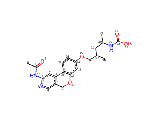 CC(=O)Nc1cc2c(cn1)COc1cc(OCC(C)CC(C)NC(=O)O)ccc1-2